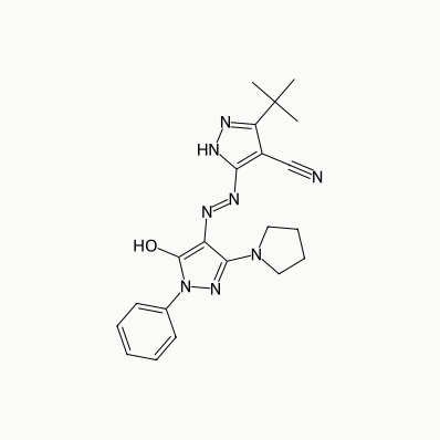 CC(C)(C)c1n[nH]c(/N=N/c2c(N3CCCC3)nn(-c3ccccc3)c2O)c1C#N